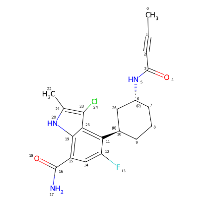 CC#CC(=O)N[C@@H]1CCC[C@@H](c2c(F)cc(C(N)=O)c3[nH]c(C)c(Cl)c23)C1